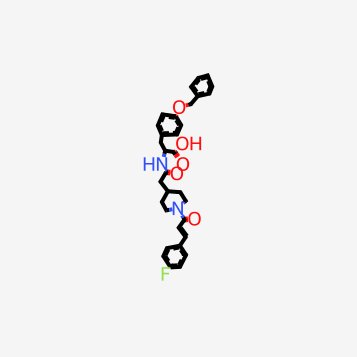 O=C(CC1CCN(C(=O)C=Cc2ccc(F)cc2)CC1)NC(Cc1ccc(OCc2ccccc2)cc1)C(=O)O